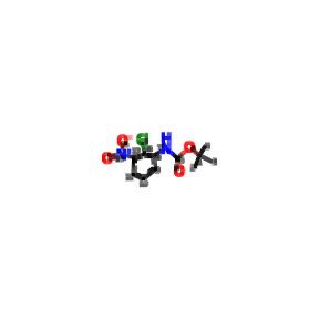 CC(C)(C)OC(=O)Nc1cccc([N+](=O)[O-])c1Cl